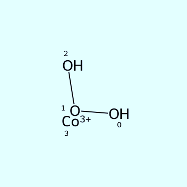 OOO.[Co+3]